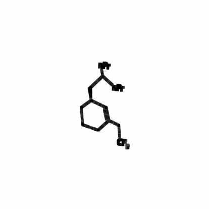 CCCC(CCC)C[C@H]1C=C(CC(F)(F)F)CCC1